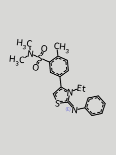 CCn1c(-c2ccc(C)c(S(=O)(=O)N(C)C)c2)cs/c1=N/c1ccccc1